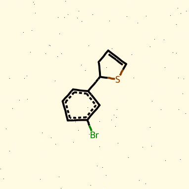 Brc1cccc(C2CC=CS2)c1